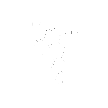 O=Cc1cc(C(=O)O)c2ccccc2c1Oc1ccc(C(=O)O)cc1